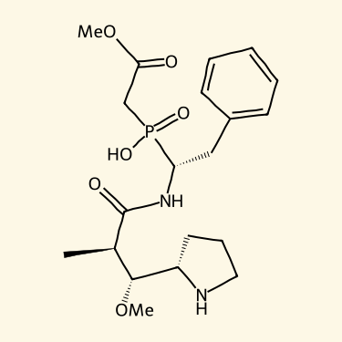 COC(=O)CP(=O)(O)[C@H](Cc1ccccc1)NC(=O)[C@H](C)[C@@H](OC)[C@@H]1CCCN1